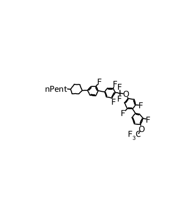 CCCCCC1CCC(c2ccc(-c3cc(F)c(C(F)(F)Oc4cc(F)c(-c5ccc(OC(F)(F)F)c(F)c5)c(F)c4)c(F)c3)c(F)c2)CC1